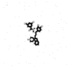 CN(C[C@@H](CCC1=Cc2ccccc2C12CCNCC2)c1ccc(Cl)c(Cl)c1)C(=O)c1cc(Cl)cc(Cl)c1